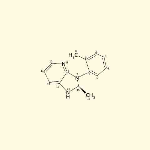 Cc1ccccc1N1c2ncccc2N[C@@H]1C